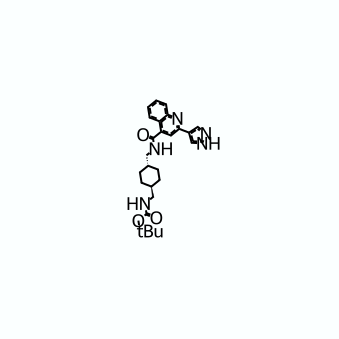 CC(C)(C)OC(=O)NC[C@H]1CC[C@H](CNC(=O)c2cc(-c3cn[nH]c3)nc3ccccc23)CC1